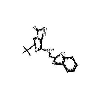 CC(C)(C)c1cn2c(=O)[nH]nc2c(NCc2nc3ccccc3[nH]2)n1